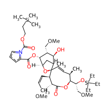 C/C=C\[C@@H]1[C@@H](COC)C(=O)O[C@H]([C@@H](COC)O[Si](CC)(CC)CC)[C@H](C)/C=C(\C)[C@]12O[C@@H]1C[C@H]2[C@H](O)[C@@H](COC)[C@H]1OC(=O)c1cccn1C(=O)OCC[Si](C)(C)C